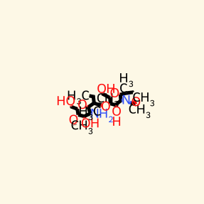 CCC(C1OC(CO)C(OC)C(O)C1N)C(C)(C)OC1C(CO)OC2C(C1O)N(C(C)=O)C2(C)CC